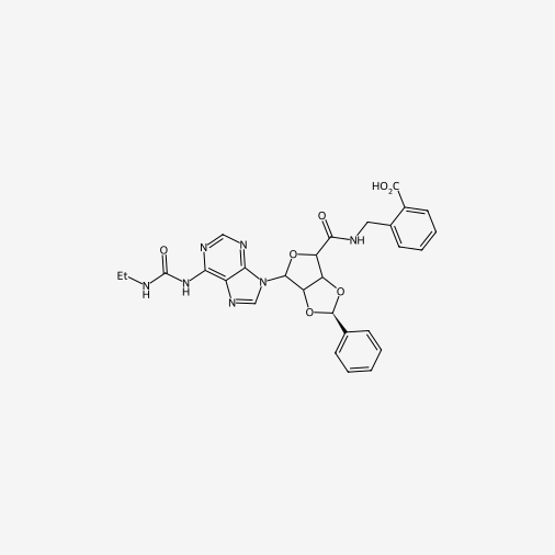 CCNC(=O)Nc1ncnc2c1ncn2C1OC(C(=O)NCc2ccccc2C(=O)O)C2O[C@@H](c3ccccc3)OC21